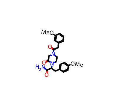 COc1ccc(CC(C(N)=O)N2CCN(C(=O)Cc3cccc(OC)c3)CC2=O)cc1